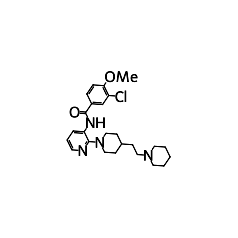 COc1ccc(C(=O)Nc2cccnc2N2CCC(CCN3CCCCC3)CC2)cc1Cl